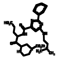 CCOC(=O)N1CCNC(C(=O)C(CCC(=O)O)NC(=O)c2cc(NCCN(C)C)nc(-c3ccccc3)n2)C1